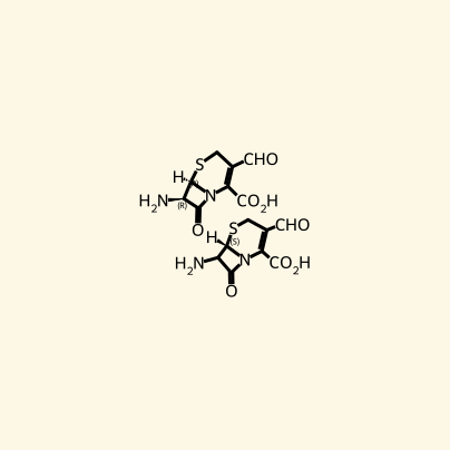 NC1C(=O)N2C(C(=O)O)=C(C=O)CS[C@@H]12.N[C@@H]1C(=O)N2C(C(=O)O)=C(C=O)CS[C@H]12